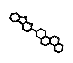 c1ccc2c(c1)ccc1c3c(ccc12)CC(c1ccc2c4ccccc4nc-2s1)CC3